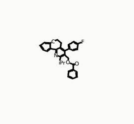 CC(C)c1nc2c(c(-c3ccc(F)cc3)c1COC(=O)c1ccccc1)CCCc1ccccc1-2